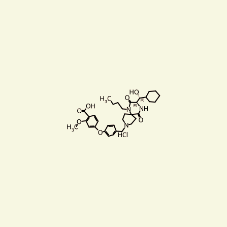 CCCCN1C(=O)[C@@H]([C@H](O)C2CCCCC2)NC(=O)C12CCN(Cc1ccc(Oc3ccc(C(=O)O)c(OC)c3)cc1)CC2.Cl